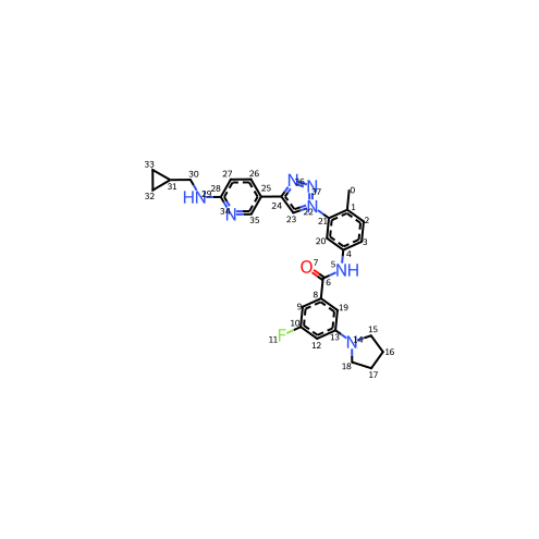 Cc1ccc(NC(=O)c2cc(F)cc(N3CCCC3)c2)cc1-n1cc(-c2ccc(NCC3CC3)nc2)nn1